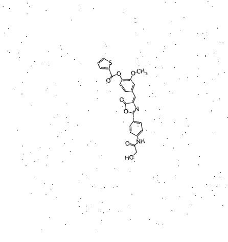 COc1cc(/C=C2/N=C(c3ccc(NC(=O)CO)cc3)OC2=O)ccc1OC(=O)c1cccs1